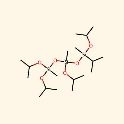 CC(C)O[Si](C)(OC(C)C)O[Si](C)(OC(C)C)O[Si](C)(OC(C)C)C(C)C